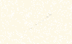 CCCCCCCCCCCCCCCCCCCCCCCCCC1CCCC1